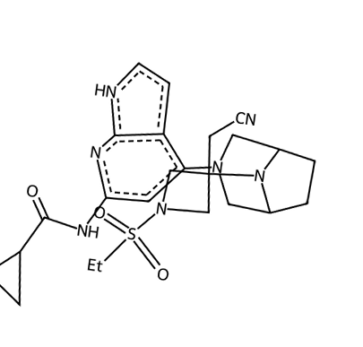 CCS(=O)(=O)N1CC(CC#N)(N2C3CCC2CN(c2cc(NC(=O)C4CC4)nc4[nH]ccc24)C3)C1